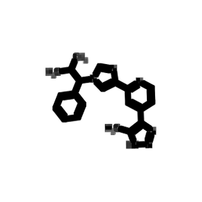 Cc1[nH]nnc1-c1ccnc(-c2cn(C(c3ccccc3)C(C)C)cn2)c1